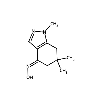 Cn1ncc2c1CC(C)(C)CC2=NO